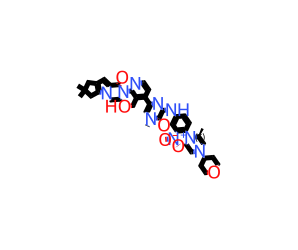 C[C@H]1CN(C2CCOCC2)CCN1c1ccc(Nc2nc(-c3ccnc(N4CCn5c(cc6c5CC(C)(C)C6)C4=O)c3CO)cn(C)c2=O)cc1[N+](=O)[O-]